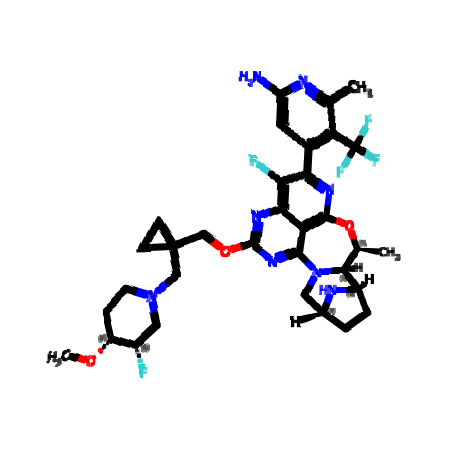 CO[C@@H]1CCN(CC2(COc3nc4c5c(nc(-c6cc(N)nc(C)c6C(F)(F)F)c(F)c5n3)O[C@@H](C)[C@@H]3[C@@H]5CC[C@H](CN43)N5)CC2)C[C@@H]1F